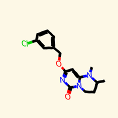 CC1CCn2c(cc(OCc3cccc(Cl)c3)nc2=O)N1C